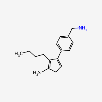 CCCCC1=C([SiH3])CC=C1c1ccc(CN)cc1